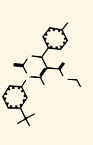 CCOC(=O)C1=C(C)N(c2cccc(C(F)(F)F)c2)C(=O)NC1c1ccc(I)cc1